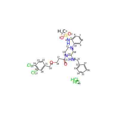 CS(=O)(=O)Nc1ccccc1N1CCN(C(=O)CCOCc2ccc(Cl)c(Cl)c2)C(NCc2ccccc2)C1.Cl.Cl